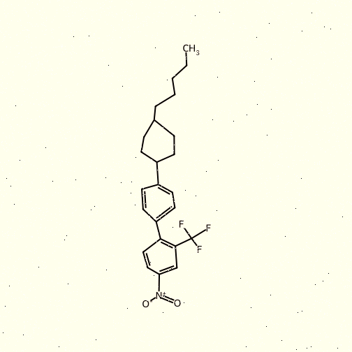 CCCCCC1CCC(c2ccc(-c3ccc([N+](=O)[O-])cc3C(F)(F)F)cc2)CC1